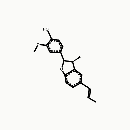 C/C=C/c1ccc2c(c1)[C@H](C)C(c1ccc(O)c(OC)c1)O2